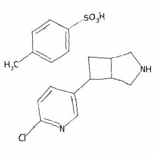 Cc1ccc(S(=O)(=O)O)cc1.Clc1ccc(C2CC3CNCC32)cn1